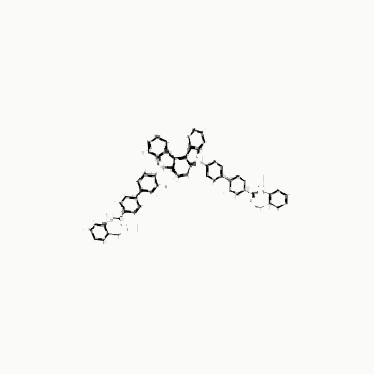 c1ccc2c(c1)CN=C(c1ccc(-c3ccc(-n4c5ccccc5c5c6c7ccccc7n(-c7ccc(-c8ccc(C9NCc%10ccccc%10N9)cc8)cc7)c6ccc54)cc3)cc1)N2